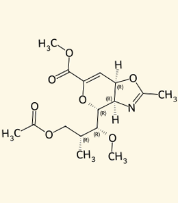 COC(=O)C1=C[C@H]2OC(C)=N[C@H]2[C@H]([C@H](OC)[C@H](C)COC(C)=O)O1